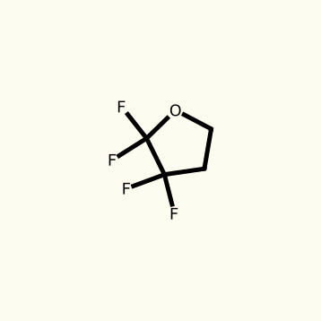 FC1(F)CCOC1(F)F